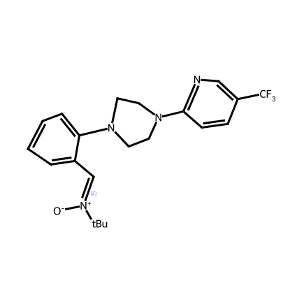 CC(C)(C)/[N+]([O-])=C/c1ccccc1N1CCN(c2ccc(C(F)(F)F)cn2)CC1